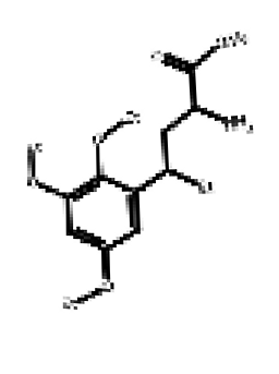 CCOc1cc(OCC)c(OCC)c(C(CC)CC(N)C(=O)OC)c1